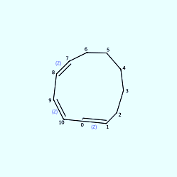 [C]1=C/CCCCC\C=C/C=C\1